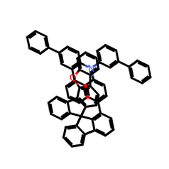 c1ccc(-c2cccc(N(c3ccc(-c4cccc5c4C4(c6ccccc6-5)c5ccccc5-c5c4ccc4c5oc5ccccc54)cc3)c3ccc(-c4ccccc4)cc3-c3ccccc3)c2)cc1